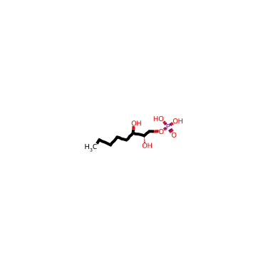 CCCCCC(O)[C@@H](O)COP(=O)(O)O